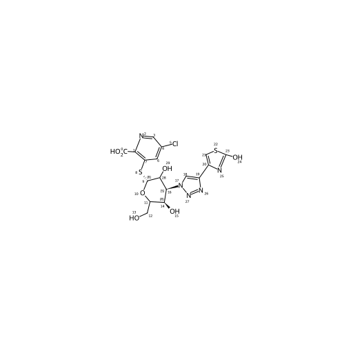 O=C(O)c1ncc(Cl)cc1S[C@H]1OC(CO)[C@H](O)[C@H](n2cc(-c3csc(O)n3)nn2)C1O